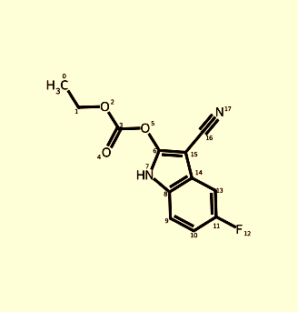 CCOC(=O)Oc1[nH]c2ccc(F)cc2c1C#N